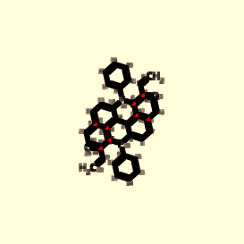 C=CC(=O)Oc1cccc(P(c2ccccc2)c2ccccc2)c1-c1c(OC(=O)C=C)cccc1P(c1ccccc1)c1ccccc1